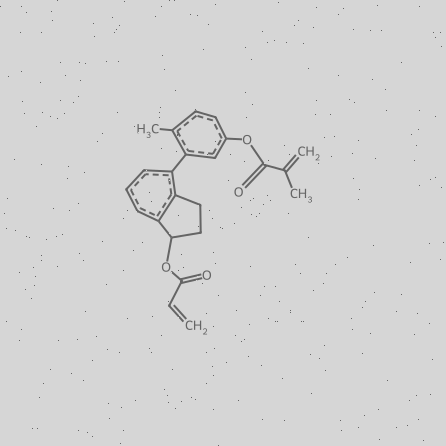 C=CC(=O)OC1CCc2c(-c3cc(OC(=O)C(=C)C)ccc3C)cccc21